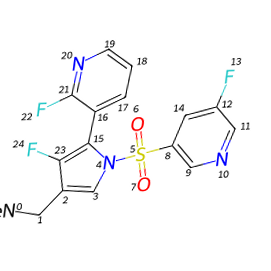 CNCc1cn(S(=O)(=O)c2cncc(F)c2)c(-c2cccnc2F)c1F